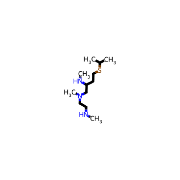 CNCCN(C)CC(CCSC(C)C)NC